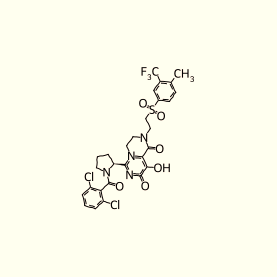 Cc1ccc(S(=O)(=O)CCN2CCn3c([C@@H]4CCCN4C(=O)c4c(Cl)cccc4Cl)nc(=O)c(O)c3C2=O)cc1C(F)(F)F